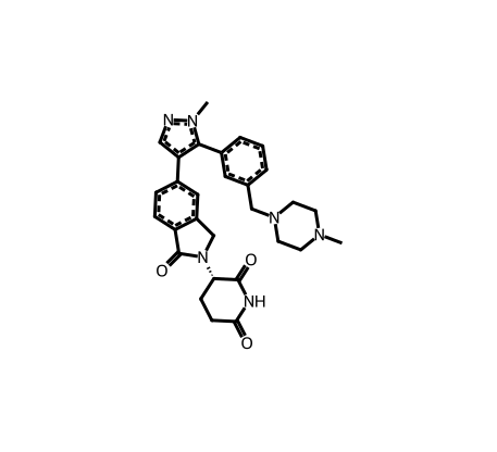 CN1CCN(Cc2cccc(-c3c(-c4ccc5c(c4)CN([C@H]4CCC(=O)NC4=O)C5=O)cnn3C)c2)CC1